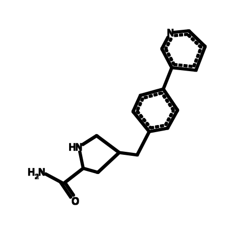 NC(=O)C1CC(Cc2ccc(-c3cccnc3)cc2)CN1